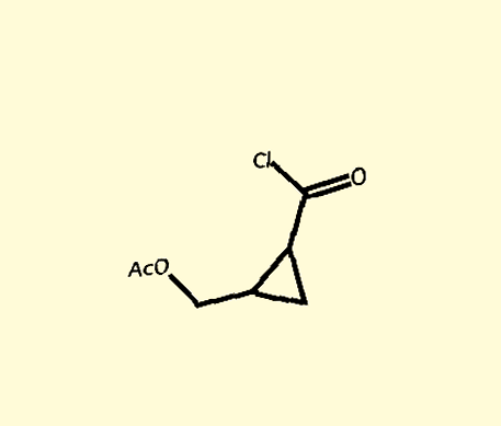 CC(=O)OCC1CC1C(=O)Cl